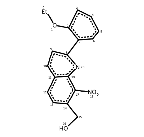 CCOc1ccccc1-c1ccc2ccc(CO)c([N+](=O)[O-])c2n1